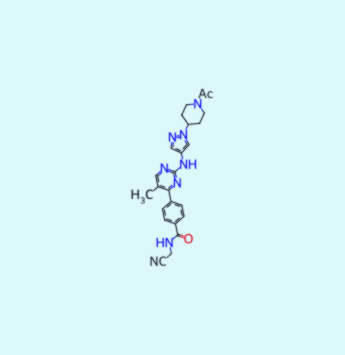 CC(=O)N1CCC(n2cc(Nc3ncc(C)c(-c4ccc(C(=O)NCC#N)cc4)n3)cn2)CC1